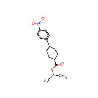 CC(C)OC(=O)[C@H]1CC[C@@H](c2ccc([N+](=O)[O-])cc2)CC1